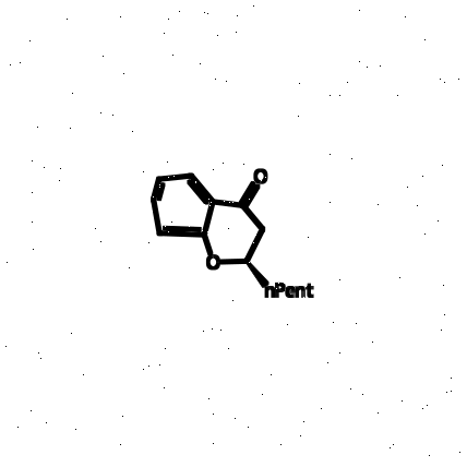 [CH2]CCCC[C@@H]1CC(=O)c2ccccc2O1